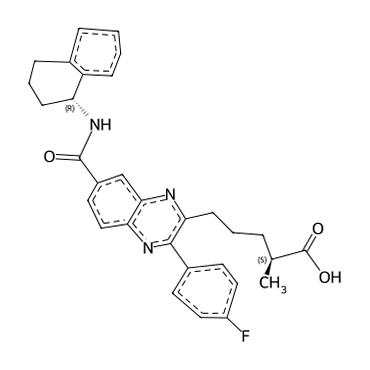 C[C@@H](CCCc1nc2cc(C(=O)N[C@@H]3CCCc4ccccc43)ccc2nc1-c1ccc(F)cc1)C(=O)O